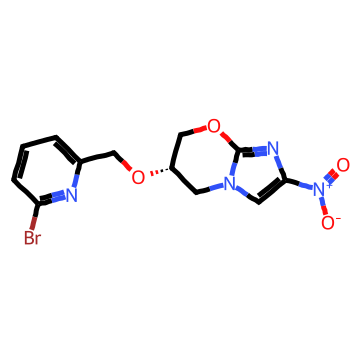 O=[N+]([O-])c1cn2c(n1)OC[C@@H](OCc1cccc(Br)n1)C2